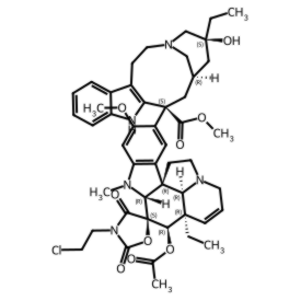 CC[C@]1(O)C[C@@H]2CN(CCc3c([nH]c4ccccc34)[C@@](C(=O)OC)(c3cc4c(cc3OC)N(C)[C@H]3[C@]5(OC(=O)N(CCCl)C5=O)[C@H](OC(C)=O)[C@]5(CC)C=CCN6CC[C@]43[C@@H]65)C2)C1